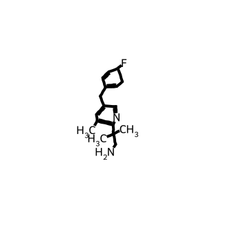 Cc1cc(CC2=CCC(F)C=C2)cnc1C(C)(C)CN